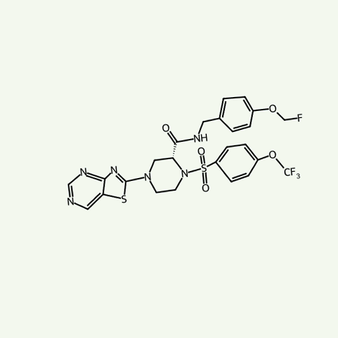 O=C(NCc1ccc(OCF)cc1)[C@H]1CN(c2nc3ncncc3s2)CCN1S(=O)(=O)c1ccc(OC(F)(F)F)cc1